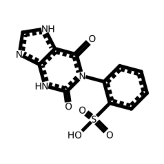 O=c1[nH]c2nc[nH]c2c(=O)n1-c1ccccc1S(=O)(=O)O